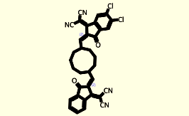 N#CC(C#N)=C1/C(=C/C2CCCCC(/C=C3\C(=O)c4cc(Cl)c(Cl)cc4C3=C(C#N)C#N)CCC2)C(=O)c2ccccc21